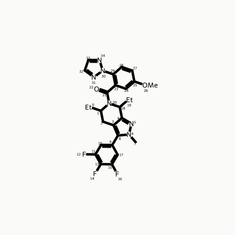 CCC1Cc2c(nn(C)c2-c2cc(F)c(F)c(F)c2)C(CC)N1C(=O)c1cc(OC)ccc1-n1nccn1